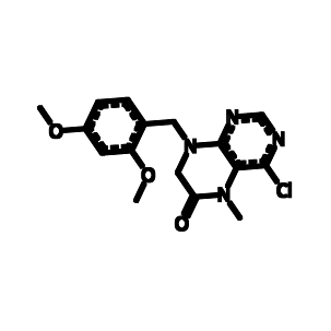 COc1ccc(CN2CC(=O)N(C)c3c(Cl)ncnc32)c(OC)c1